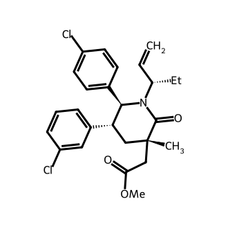 C=C[C@H](CC)N1C(=O)[C@](C)(CC(=O)OC)C[C@H](c2cccc(Cl)c2)[C@H]1c1ccc(Cl)cc1